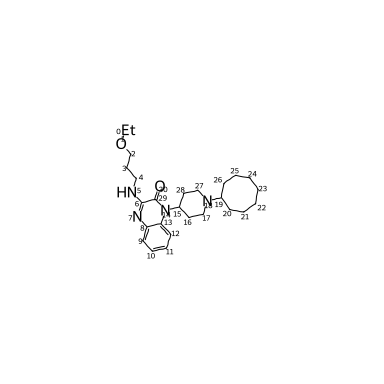 CCOCCCNc1nc2ccccc2n(C2CCN(C3CCCCCCC3)CC2)c1=O